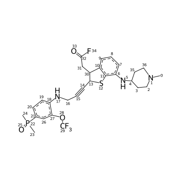 CN1CCC(Nc2cccc3c2SC(C#CCNc2ccc(P(C)(C)=O)cc2OC(F)(F)F)C3CC(=O)F)CC1